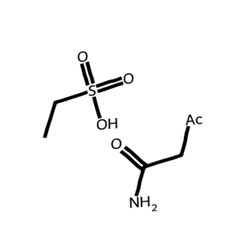 CC(=O)CC(N)=O.CCS(=O)(=O)O